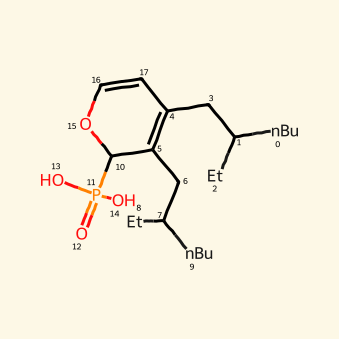 CCCCC(CC)CC1=C(CC(CC)CCCC)C(P(=O)(O)O)OC=C1